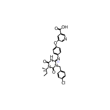 CC[C@@H](C)n1c(=O)[nH]/c(=N\c2ccc(Oc3cncc(C(=O)O)c3)cc2)n(Cc2ccc(Cl)cc2)c1=O